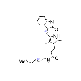 CNC/C=C/CN(C)C(=O)CCc1c(C)[nH]c(/C=C2\C(=O)Nc3ccccc32)c1C